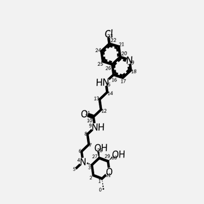 C[C@@H]1C[C@H](N(C)CCCNC(=O)CCCNc2ccnc3cc(Cl)ccc23)[C@@H](O)[C@H](O)O1